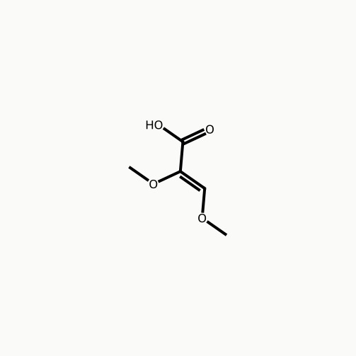 COC=C(OC)C(=O)O